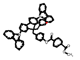 COC(=O)c1ccc(C(=O)Oc2ccc(CC3(Cc4ccc(C)cc4)c4cc(-n5c6ccccc6c6ccccc65)ccc4-c4ccc(-n5c6ccccc6c6ccccc65)cc43)cc2)cc1